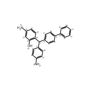 Nc1ccc(C(c2ccc(-c3ccccc3)cc2)c2ccc(N)cc2O)cc1